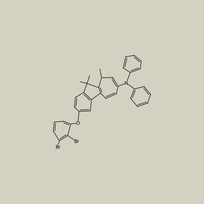 CC1C=C(N(c2ccccc2)c2ccccc2)C=CC2=C1C(C)(C)c1ccc(Oc3cccc(Br)c3Br)cc12